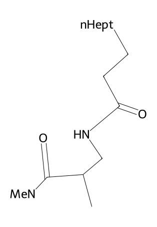 CCCCCCCCCC(=O)NCC(C)C(=O)NC